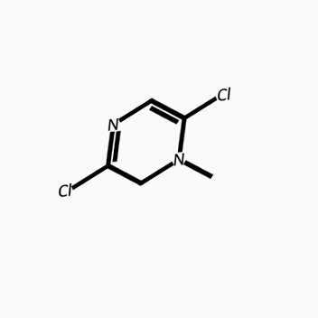 CN1CC(Cl)=NC=C1Cl